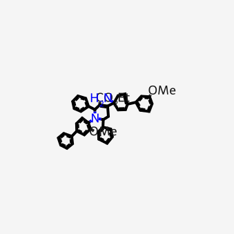 CCOC(=O)C1=C(C2(N)C=CC(c3cccc(OC)c3)=CC2)CC(c2ccccc2)N(c2ccc(-c3ccccc3)cc2OC)C1c1ccccc1